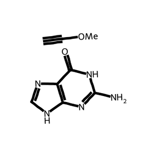 C#COC.Nc1nc2[nH]cnc2c(=O)[nH]1